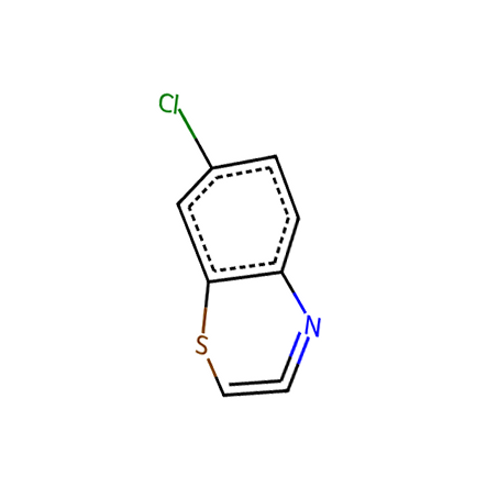 Clc1ccc2c(c1)SC=C=N2